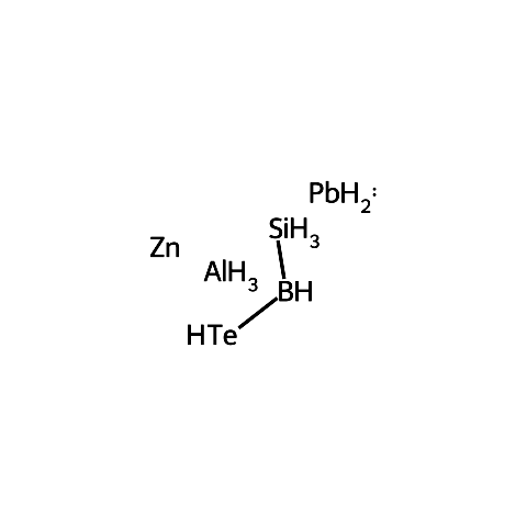 [AlH3].[PbH2].[SiH3]B[TeH].[Zn]